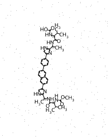 COC(=O)N[C@H](C(=O)N[C@@H](C)c1nc(-c2ccc3cc(-c4ccc(-c5c[nH]c([C@H](C)NC(=O)[C@@H](NC(=O)O)C(C)C)n5)cc4)ccc3c2)c[nH]1)C(C)C